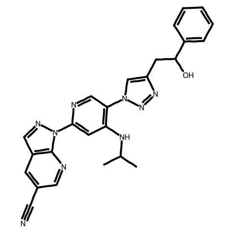 CC(C)Nc1cc(-n2ncc3cc(C#N)cnc32)ncc1-n1cc(CC(O)c2ccccc2)nn1